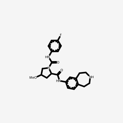 COC1CC(C(=O)Nc2ccc3c(c2)CCNCC3)N(C(=O)Nc2ccc(F)cc2)C1